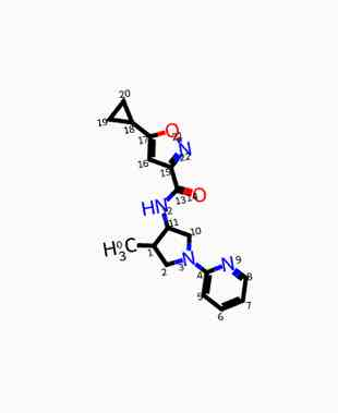 CC1CN(c2ccccn2)CC1NC(=O)c1cc(C2CC2)on1